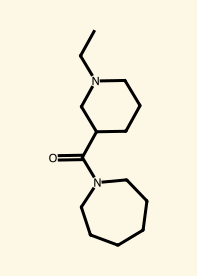 CCN1CCCC(C(=O)N2CCCCCC2)C1